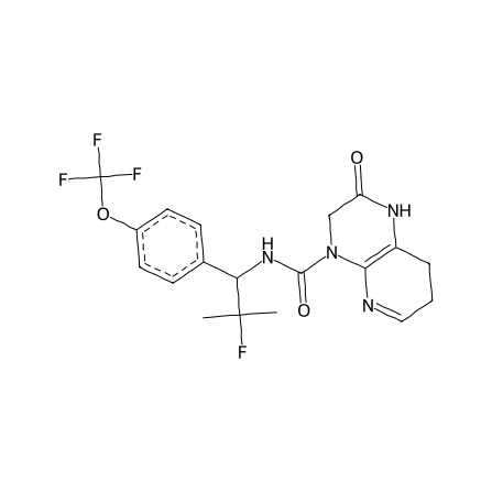 CC(C)(F)C(NC(=O)N1CC(=O)NC2=C1N=CCC2)c1ccc(OC(F)(F)F)cc1